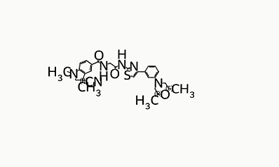 C[C@@H]1CN(c2cccc(-c3csc(NC(=O)CNC(=O)c4ccc5c(c4)[C@@](C)(C#N)CN5C)n3)c2)C[C@H](C)O1